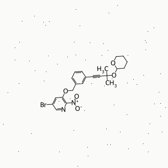 CC(C)(C#Cc1cccc(COc2cc(Br)cnc2[N+](=O)[O-])c1)OC1CCCCO1